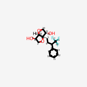 O[C@@H]1CO[C@@]2(CCC(c3ccccc3)C(F)(F)F)[C@@H]1OC[C@@H]2O